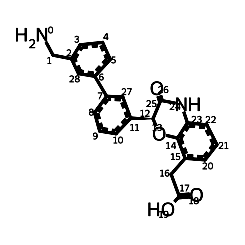 NCc1cccc(-c2cccc([C@@H]3Oc4c(CC(=O)O)cccc4NC3=O)c2)c1